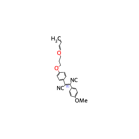 [C-]#[N+]/C(=C(/C#N)c1ccc(OCCCOC=CC=C)cc1)c1ccc(OC)cc1